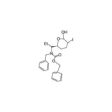 CCC([C@@H]1CCC(I)C(O)O1)N(Cc1ccccc1)C(=O)OCc1ccccc1